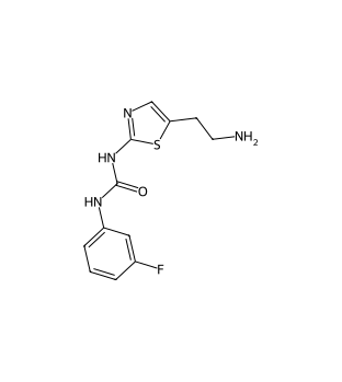 NCCc1cnc(NC(=O)Nc2cccc(F)c2)s1